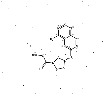 CC(C)(C)OC(=O)N1CC[C@H](Oc2ncc3ncnc(O)c3n2)C1